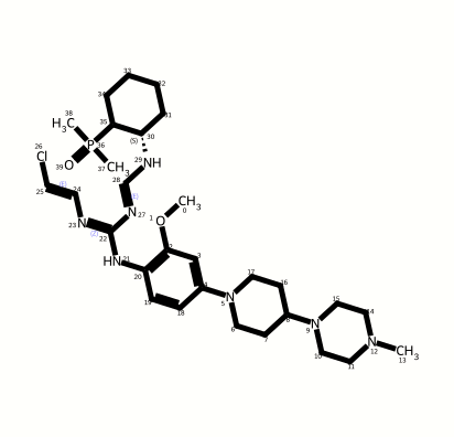 COc1cc(N2CCC(N3CCN(C)CC3)CC2)ccc1NC(=N/C=C/Cl)/N=C/N[C@H]1CCCCC1P(C)(C)=O